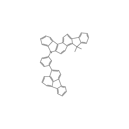 CC1(C)c2ccccc2-c2ccc3c(ccc4c3c3ccccc3n4-c3cccc(-c4ccc5c6c(cccc46)-c4ccccc4-5)c3)c21